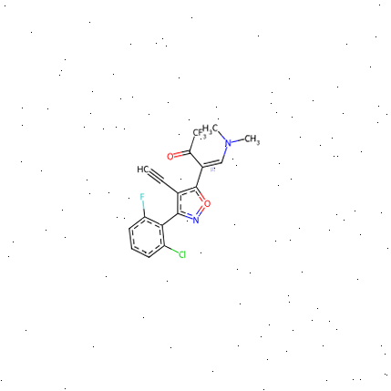 C#Cc1c(-c2c(F)cccc2Cl)noc1/C(=C/N(C)C)C(=O)C(F)(F)F